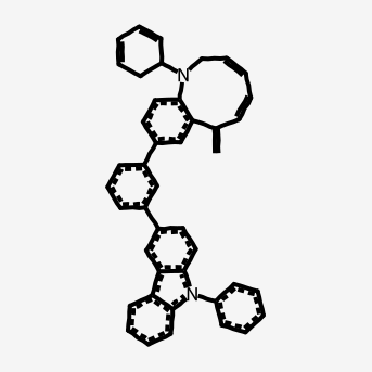 C=C1/C=C\C=C/CN(C2C=CC=CC2)c2ccc(-c3cccc(-c4ccc5c(c4)c4ccccc4n5-c4ccccc4)c3)cc21